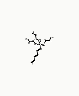 C=C/C=C/C=C/[Si](OCCC)(OCCC)OCCC